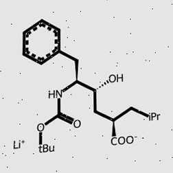 CC(C)C[C@H](C[C@@H](O)[C@H](Cc1ccccc1)NC(=O)OC(C)(C)C)C(=O)[O-].[Li+]